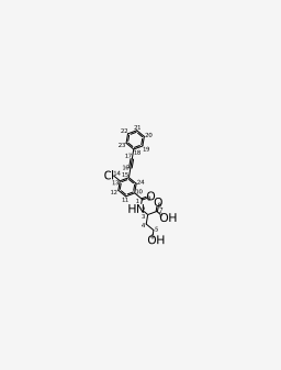 O=C(NC(CCO)C(=O)O)c1ccc(Cl)c(C#Cc2ccccc2)c1